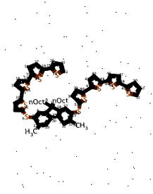 CCCCCCCCC1(CCCCCCCC)c2cc(Sc3ccc(-c4ccc(-c5ccc(-c6cccs6)s5)s4)s3)c(C)cc2-c2cc(C)c(Sc3ccc(-c4ccc(-c5ccc(-c6cccs6)s5)s4)s3)cc21